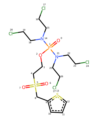 O=P(OCCS(=O)(=O)Cc1cccs1)(N(CCCl)CCCl)N(CCCl)CCCl